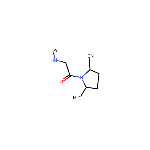 CC(C)NCC(=O)N1C(C)CCC1C#N